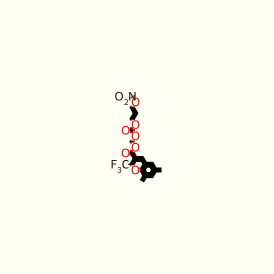 Cc1cc(C)c2c(c1)C=C(C(=O)OCOC(=O)OCCCO[N+](=O)[O-])[C@@H](C(F)(F)F)O2